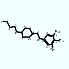 CCCCCC1CCC(CCc2cc(F)c(F)c(F)c2)CC1